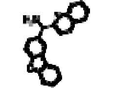 NC(c1ccc2oc3ccccc3c2c1)c1ccc2ccccc2n1